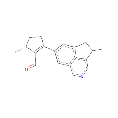 CC1Cc2cc(C3=C(C=O)[C@H](C)CC3)cc3cncc1c23